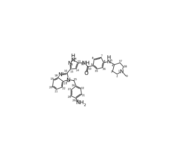 CN1CCC(Nc2ccc(C(=O)Nc3cc(-c4nc5ccccc5n4Cc4ccc(N)cc4)n[nH]3)cc2)CC1